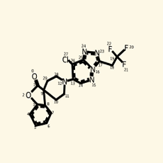 O=C1Oc2ccccc2C12CCN(c1cnn3c(CC(F)(F)F)nnc3c1Cl)CC2